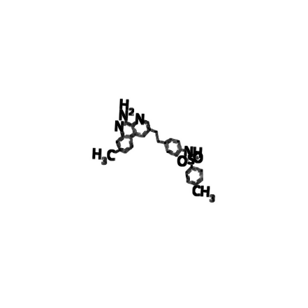 Cc1ccc(S(=O)(=O)Nc2ccc(CCc3cnc4c(N)nc5cc(C)ccc5c4c3)cc2)cc1